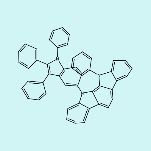 c1ccc(-c2c(-c3ccccc3)n(-c3ccccc3)c3ccc(-n4c5ccccc5c5ccc6c7ccccc7n(-c7ccccc7)c6c54)cc23)cc1